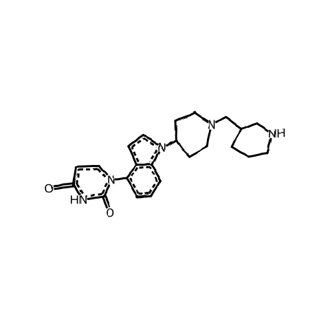 O=c1ccn(-c2cccc3c2ccn3C2CCN(CC3CCCNC3)CC2)c(=O)[nH]1